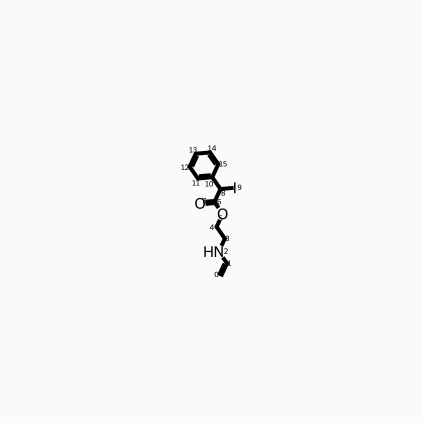 C=CNCCOC(=O)C(I)c1ccccc1